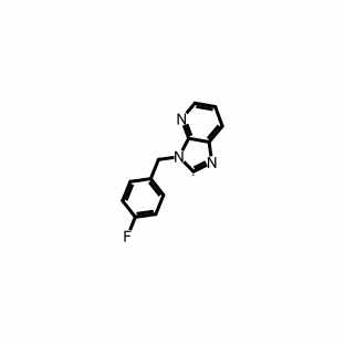 Fc1ccc(Cn2[c]nc3cccnc32)cc1